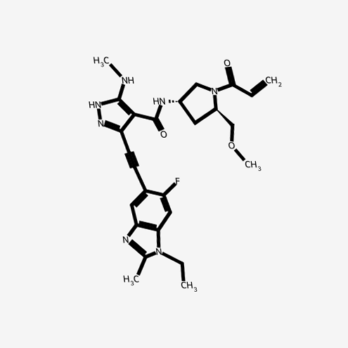 C=CC(=O)N1C[C@@H](NC(=O)c2c(C#Cc3cc4nc(C)n(CC)c4cc3F)n[nH]c2NC)C[C@@H]1COC